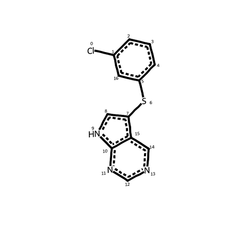 Clc1cccc(Sc2c[nH]c3ncncc23)c1